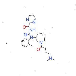 Cc1cccc2nc(NC(=O)c3ncccn3)n(C3CCCCN(C(=O)C=CCN(C)C)C3)c12